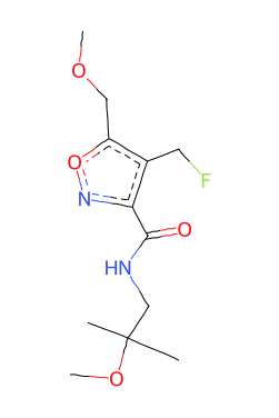 COCc1onc(C(=O)NCC(C)(C)OC)c1CF